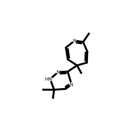 CC1=NC=CC(C)(C2=NNC(C)(C)C=N2)C=C1